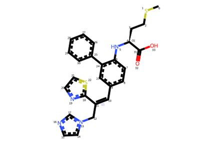 CSCC[C@H](Nc1ccc(/C=C(/Cn2ccnc2)c2nccs2)cc1-c1ccccc1)C(=O)O